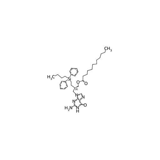 CCCCCCCCCCCC(=O)OC[C@H](CC[Si](CCCC)(c1ccccc1)c1ccccc1)Cn1cnc2c(=O)[nH]c(N)nc21